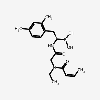 C/C=C\C(=O)N(CC)CC(=O)N[C@@H](Cc1ccc(C)cc1C)B(O)O